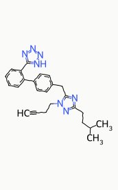 C#CCCn1nc(CCC(C)C)nc1Cc1ccc(-c2ccccc2-c2nnn[nH]2)cc1